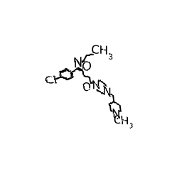 CCCc1nc(-c2ccc(Cl)cc2)c(CCC(=O)N2CCN(CC3CCN(C)CC3)CC2)o1